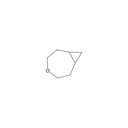 C1CC2CC2CCO1